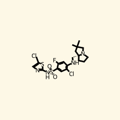 CC1(C)CN2CCC[C@@]2(CNc2cc(F)c(S(=O)(=O)Nc3ncc(Cl)s3)cc2Cl)C1